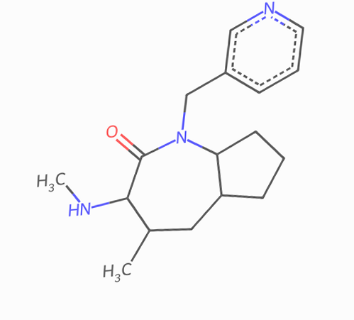 CNC1C(=O)N(Cc2cccnc2)C2CCCC2CC1C